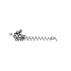 CCCCCCCCCCCCCCCCCCS(=O)(=O)c1cc(C(=O)O)c2c(c1)c(=O)on2C